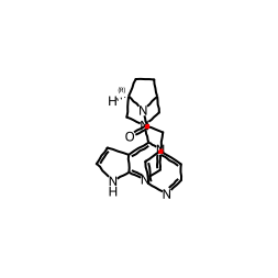 O=C(Cc1ccncc1)N1C2CC[C@@H]1CN(c1ncnc3[nH]ccc13)C2